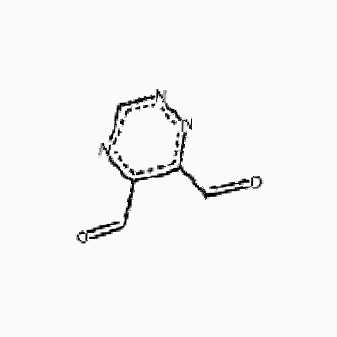 O=Cc1ncnnc1C=O